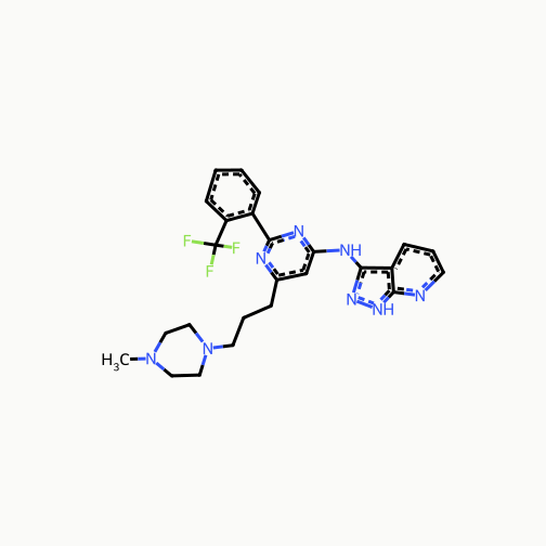 CN1CCN(CCCc2cc(Nc3n[nH]c4ncccc34)nc(-c3ccccc3C(F)(F)F)n2)CC1